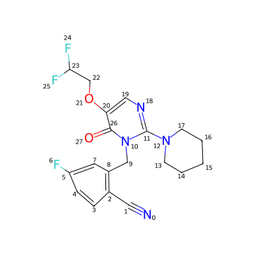 N#Cc1ccc(F)cc1Cn1c(N2CCCCC2)ncc(OCC(F)F)c1=O